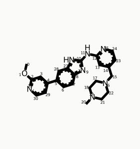 COc1cc(-c2ccc3nc(Nc4cc(CN5CCN(C)CC5)ccn4)[nH]c3c2)ccn1